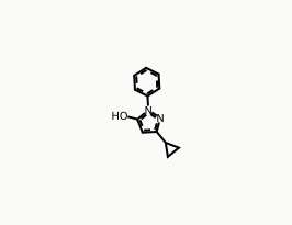 Oc1cc(C2CC2)nn1-c1ccccc1